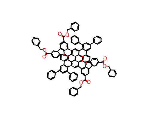 O=C(OCc1ccccc1)c1ccc2c(c1)-c1cc(C(=O)OCc3ccccc3)cc3c1B2c1cc2c(-c4c(-c5ccccc5)cc(-c5ccccc5)cc4-c4ccccc4)cc4c5c(cc6c(-c7c(-c8ccccc8)cc(-c8ccccc8)cc7-c7ccccc7)cc-3c1c6c25)B1c2ccc(C(=O)OCc3ccccc3)cc2-c2cc(C(=O)OCc3ccccc3)cc-4c21